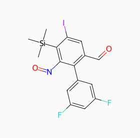 C[Si](C)(C)c1c(I)cc(C=O)c(-c2cc(F)cc(F)c2)c1N=O